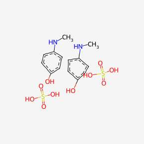 CNc1ccc(O)cc1.CNc1ccc(O)cc1.O=S(=O)(O)O.O=S(=O)(O)O